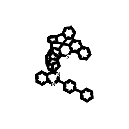 c1ccc(-c2ccc(-c3nc(-c4ccc(-c5cccc6c5C5(c7ccccc7-6)c6ccc7ccccc7c6Sc6c5ccc5ccccc65)cc4)c4ccccc4n3)cc2)cc1